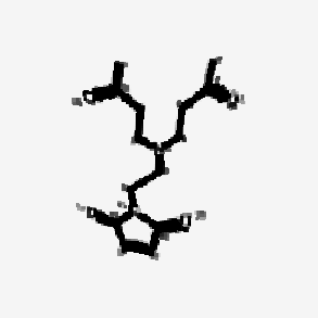 CC(=O)CCN(CCC(C)=O)CCN1C(=O)C=CC1=O